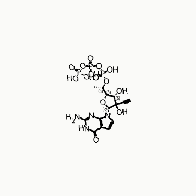 C#CC1(O)[C@@H](O)[C@@H]([C@H](C)OP(=O)(O)OP(=O)(O)OP(=O)(O)O)O[C@H]1n1ccc2c(=O)[nH]c(N)nc21